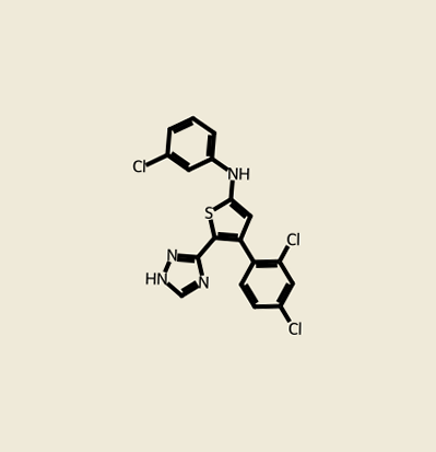 Clc1cccc(Nc2cc(-c3ccc(Cl)cc3Cl)c(-c3nc[nH]n3)s2)c1